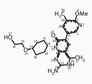 COc1ncc(-c2cc3c(n([C@H]4CC[C@H](OCCO)CC4)c2=O)=NC(N)NC=3C)cc1C